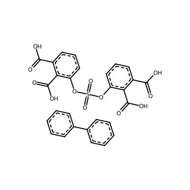 O=C(O)c1cccc(OS(=O)(=O)Oc2cccc(C(=O)O)c2C(=O)O)c1C(=O)O.c1ccc(-c2ccccc2)cc1